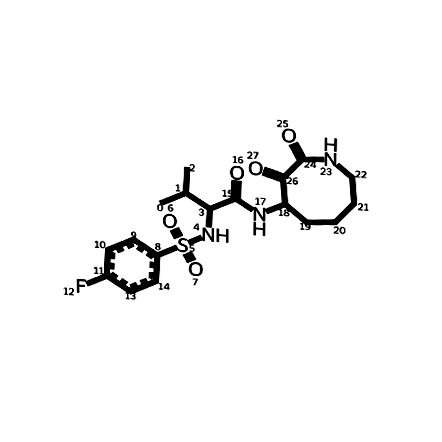 CC(C)C(NS(=O)(=O)c1ccc(F)cc1)C(=O)NC1CCCCNC(=O)C1=O